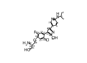 CC(C)Nc1ccc(-c2nnc(-c3cc(F)c(OC[C@H](N)CO)cc3Cl)s2)cn1.Cl